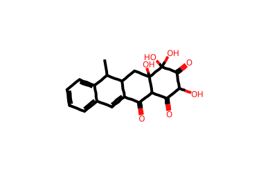 CC1c2ccccc2C=C2C(=O)C3C(=O)C(O)C(=O)C(O)(O)C3(O)CC21